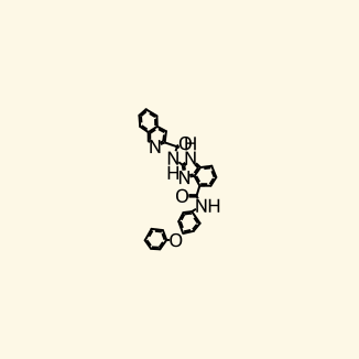 O=C(Nc1nc2c(C(=O)Nc3ccc(Oc4ccccc4)cc3)cccc2[nH]1)c1cc2ccccc2cn1